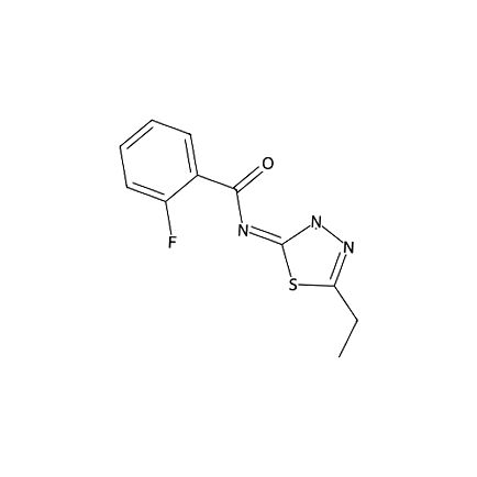 CCC1=N[N]C(=NC(=O)c2ccccc2F)S1